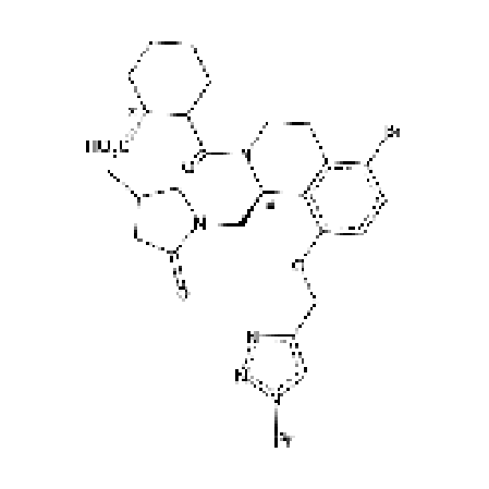 CC1CC(=O)N(C[C@@H]2c3c(OCc4cn(C(C)C)nn4)ccc(Br)c3CCN2C(=O)C2CCCC[C@H]2C(=O)O)C1